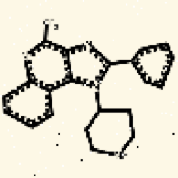 FC(F)(F)c1nc2ccccc2c2c1nc(-c1ccccc1)n2C1CCNCC1